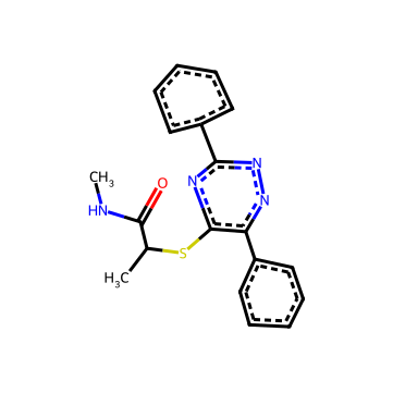 CNC(=O)C(C)Sc1nc(-c2ccccc2)nnc1-c1ccccc1